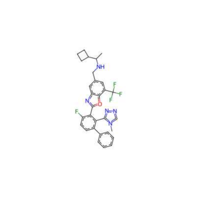 CC(NCc1cc(C(F)(F)F)c2oc(-c3c(F)ccc(-c4ccccc4)c3-c3nncn3C)nc2c1)C1CCC1